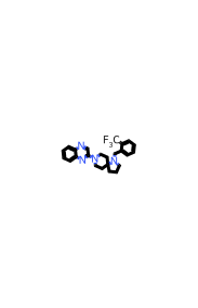 FC(F)(F)c1ccccc1CN1CCCC12CCN(c1cnc3ccccc3n1)CC2